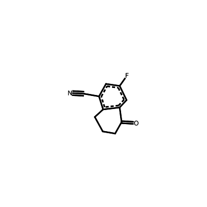 N#Cc1cc(F)cc2c1CCCC2=O